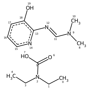 CCN(CC)C(=O)O.CN(C)C=Nc1ncccc1O